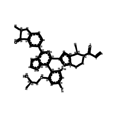 C=CC(=O)N1CCn2nc(-c3nc(-c4ccc5c(c4)C(=O)N(C)C5)c4ccsc4c3-c3c(F)cc(F)cc3OC[C@@H](C)O)cc2[C@H]1C